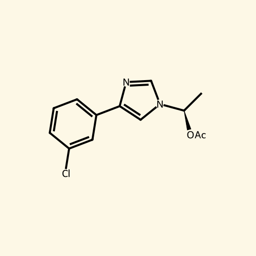 CC(=O)O[C@H](C)n1cnc(-c2cccc(Cl)c2)c1